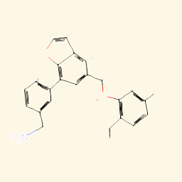 Cc1ccc(CC(=O)O)c(OCc2cc(-c3cccc(CN)c3)c3occc3c2)c1